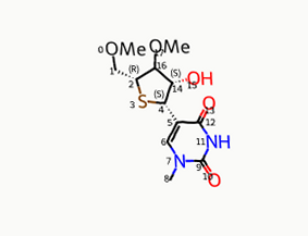 COC[C@H]1S[C@@H](c2cn(C)c(=O)[nH]c2=O)[C@@H](O)C1OC